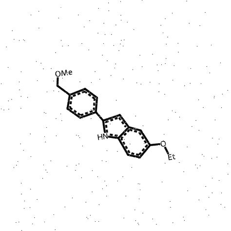 CCOc1ccc2[nH]c(-c3ccc(COC)cc3)cc2c1